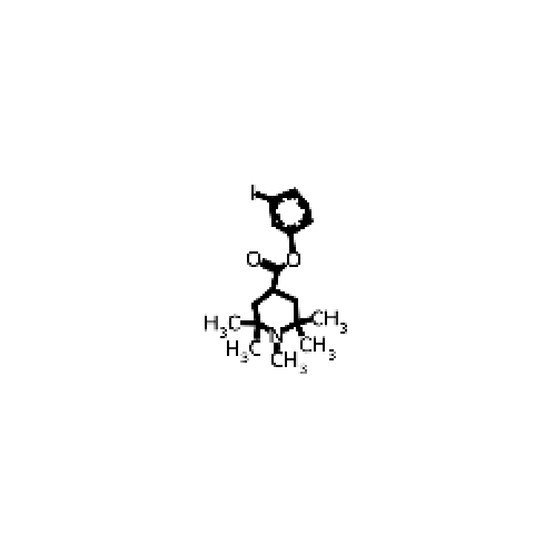 CN1C(C)(C)CC(C(=O)Oc2cccc(I)c2)CC1(C)C